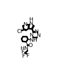 O=C(NCC(F)(F)F)[C@H]1CCCC[C@H]1Nc1cnnc(-c2c[nH]c3ncc(Cl)cc23)n1